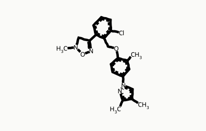 Cc1cc(-n2cc(C)c(C)n2)ccc1OCc1c(Cl)cccc1C1=NON(C)C1